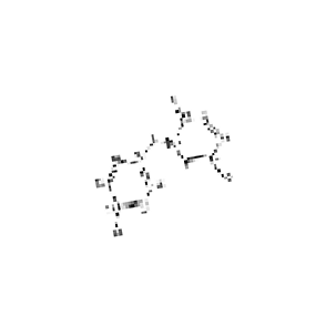 C=C1C=CC(C)=CN1Cc1ccc(C)cc1